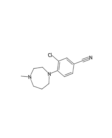 CN1CCCN(c2ccc(C#N)cc2Cl)CC1